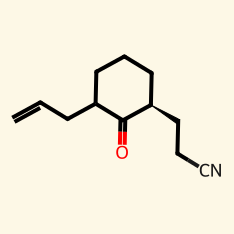 C=CCC1CCC[C@@H](CCC#N)C1=O